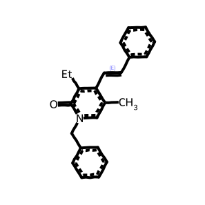 CCc1c(/C=C/c2ccccc2)c(C)cn(Cc2ccccc2)c1=O